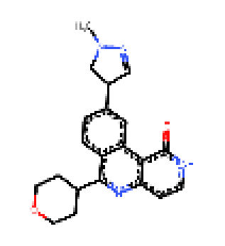 CN1CC(c2ccc3c(C4CCOCC4)nc4cc[nH]c(=O)c4c3c2)C=N1